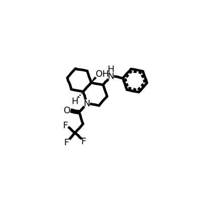 O=C(CC(F)(F)F)N1CCC(Nc2ccccc2)[C@@]2(O)CCCC[C@H]12